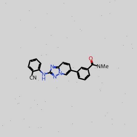 CNC(=O)c1cccc(-c2ccc3nc(Nc4ccccc4C#N)nn3c2)c1